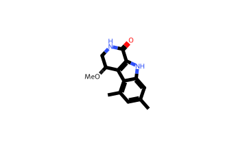 COC1CNC(=O)c2[nH]c3cc(C)cc(C)c3c21